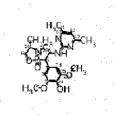 COc1cc(C(CNc2nc(C)cc(C)n2)P2(=O)OC[C@H](C)N2C)cc(OC)c1O